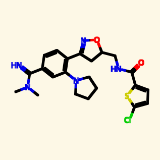 CN(C)C(=N)c1ccc(C2=NOC(CNC(=O)c3ccc(Cl)s3)C2)c(N2CCCC2)c1